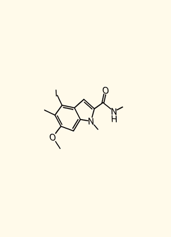 CNC(=O)c1cc2c(I)c(C)c(OC)cc2n1C